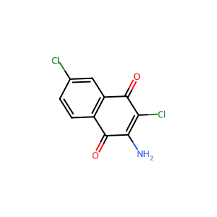 NC1=C(Cl)C(=O)c2cc(Cl)ccc2C1=O